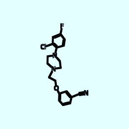 N#Cc1cccc(OCCN2CCN(c3ccc(F)cc3Cl)CC2)c1